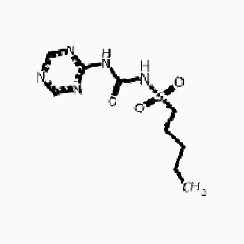 CCCCCS(=O)(=O)NC(=O)Nc1ncncn1